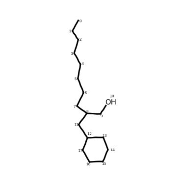 CCCCCCCCC(CO)CC1CCCCC1